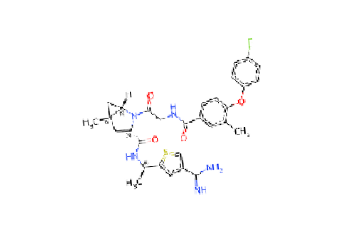 Cc1cc(C(=O)NCC(=O)N2[C@H]3C[C@@]3(C)C[C@H]2C(=O)N[C@H](C)c2cc(C(=N)N)cs2)ccc1Oc1ccc(F)cc1